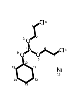 ClCCOP(OCCCl)OC1CCCCC1.[Ni]